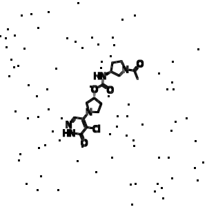 CC(=O)N1CC[C@H](NC(=O)O[C@@H]2CCN(c3cn[nH]c(=O)c3Cl)C2)C1